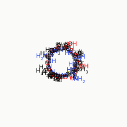 CCCC[C@H]1C(=O)N(C)CC(=O)N[C@@H](CCN)C(=O)N[C@@H](C(C)C)C(=O)N(C)[C@@H](Cc2ccccc2)C(=O)N[C@@H](Cc2ccc(O)cc2)C(=O)N(C)CC(=O)N[C@@H](Cc2c[nH]c3ccccc23)C(=O)N[C@@H](Cc2ccc(O)cc2)C(=O)N[C@@H](CC(C)C)C(=O)N[C@H](C(=O)NCC(N)=O)CSCC(=O)N[C@@H](Cc2ccccc2)C(=O)N(C)[C@@H](Cc2ccccc2)C(=O)N1C